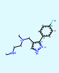 CNCCN(C)Cc1c[nH]nc1-c1ccc(F)cc1